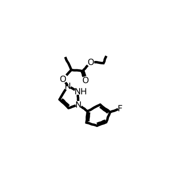 CCOC(=O)C(C)ON1C=CN(c2cccc(F)c2)N1